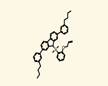 C=CCOc1ccccc1[Si](C)(C)C1c2cc(-c3cccc(CCCC)c3)ccc2-c2ccc(-c3cccc(CCCC)c3)cc21